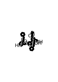 CC(C)(C)OC(=O)N1CC(CO)N(C(O)OCc2ccccc2)C(c2cncc(OCC3CNCCN3C(=O)OCc3ccccc3)c2)C1